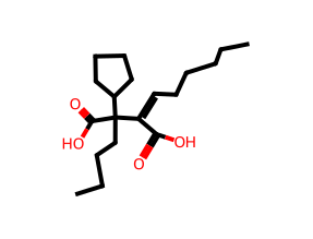 CCCCCC=C(C(=O)O)C(CCCC)(C(=O)O)C1CCCC1